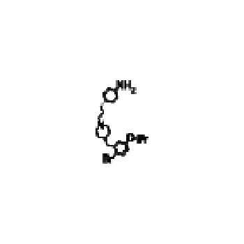 CC(C)Oc1ccc(Br)c(CC2CCN(CCC[C@H]3CC[C@H](N)CC3)CC2)c1